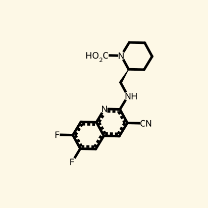 N#Cc1cc2cc(F)c(F)cc2nc1NC[C@@H]1CCCCN1C(=O)O